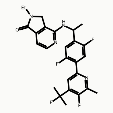 CCN1Cc2c(ccnc2NC(C)c2cc(F)c(-c3cc(C(C)(C)F)c(F)c(C)n3)cc2F)C1=O